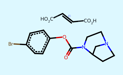 O=C(O)/C=C/C(=O)O.O=C(Oc1ccc(Br)cc1)N1CCN2CCC1C2